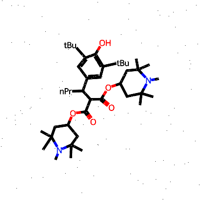 CCCC(c1cc(C(C)(C)C)c(O)c(C(C)(C)C)c1)C(C(=O)OC1CC(C)(C)N(C)C(C)(C)C1)C(=O)OC1CC(C)(C)N(C)C(C)(C)C1